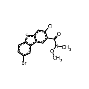 CON(C)C(=O)c1cc2c(cc1Cl)sc1ccc(Br)cc12